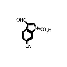 N#Cc1ccc2c(C=O)cn(C(=O)O)c2c1